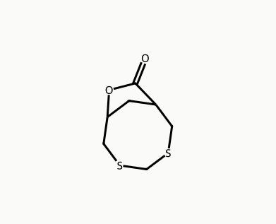 O=C1OC2CSCSCC1C2